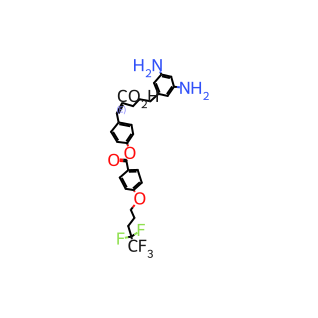 Nc1cc(N)cc(CCC/C(=C\c2ccc(OC(=O)c3ccc(OCCCC(F)(F)C(F)(F)F)cc3)cc2)C(=O)O)c1